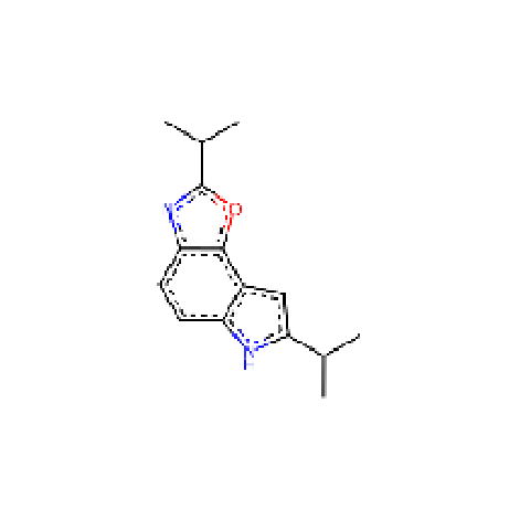 CC(C)c1cc2c(ccc3nc(C(C)C)oc32)[nH]1